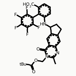 Cc1nc2cc3c(cc2c(=O)n1COC(=O)C(C)(C)C)C(Nc1cccc(C(=O)O)c1-c1c(F)c(F)c(F)c(F)c1F)CC3